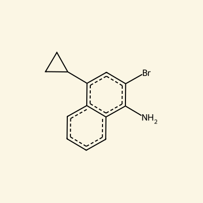 Nc1c(Br)cc(C2CC2)c2ccccc12